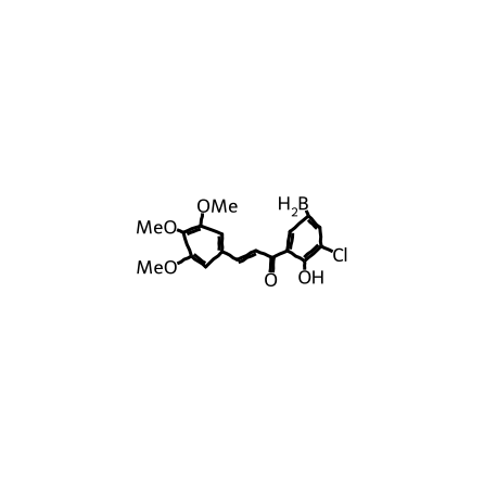 Bc1cc(Cl)c(O)c(C(=O)/C=C/c2cc(OC)c(OC)c(OC)c2)c1